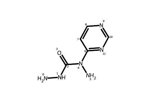 NNC(=O)N(N)c1ccncn1